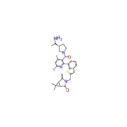 C=C1C2C(C(=O)N1Cc1cc3cccc(-c4nc(I)cc(C)c4C(=O)N4CC[C@H](C(C)N)C4)c3s1)C2(C)C